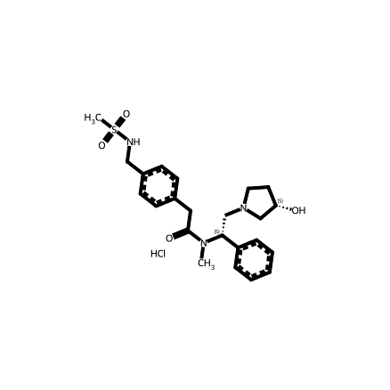 CN(C(=O)Cc1ccc(CNS(C)(=O)=O)cc1)[C@H](CN1CC[C@H](O)C1)c1ccccc1.Cl